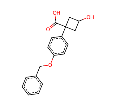 O=C(O)C1(c2ccc(OCc3ccccc3)cc2)CC(O)C1